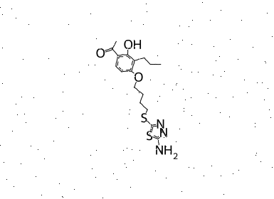 CCCc1c(OCCCCSc2nnc(N)s2)ccc(C(C)=O)c1O